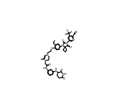 CCc1cc(N2C(=S)N(c3cnc(C#N)c(C(F)(F)F)c3)C(=O)C23CCC3)ccc1OCCN1C=C(C)N(CC(=O)Nc2cccc(NC3CCC(=O)NC3=O)c2)CC1